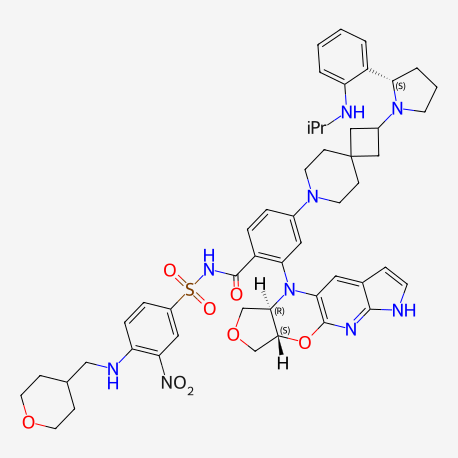 CC(C)Nc1ccccc1[C@@H]1CCCN1C1CC2(CCN(c3ccc(C(=O)NS(=O)(=O)c4ccc(NCC5CCOCC5)c([N+](=O)[O-])c4)c(N4c5cc6cc[nH]c6nc5O[C@@H]5COC[C@H]54)c3)CC2)C1